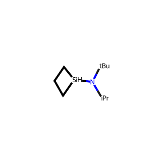 CC(C)N([SiH]1CCC1)C(C)(C)C